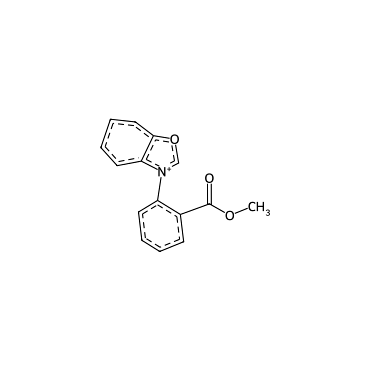 COC(=O)c1ccccc1-[n+]1coc2ccccc21